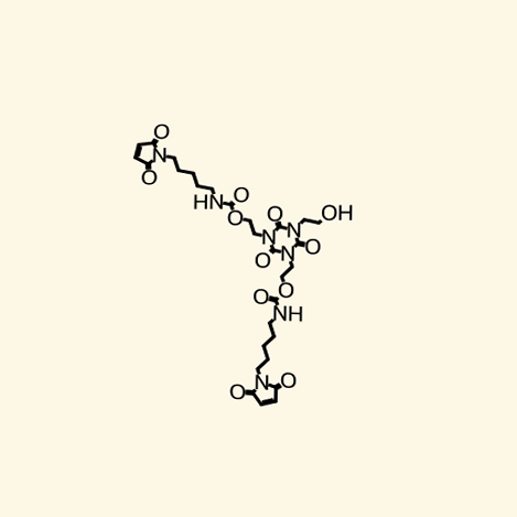 O=C(NCCCCCN1C(=O)C=CC1=O)OCCn1c(=O)n(CCO)c(=O)n(CCOC(=O)NCCCCCN2C(=O)C=CC2=O)c1=O